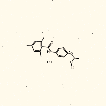 CCOC(C)Oc1ccc(PC(=O)c2c(C)cc(C)cc2C)cc1.[LiH]